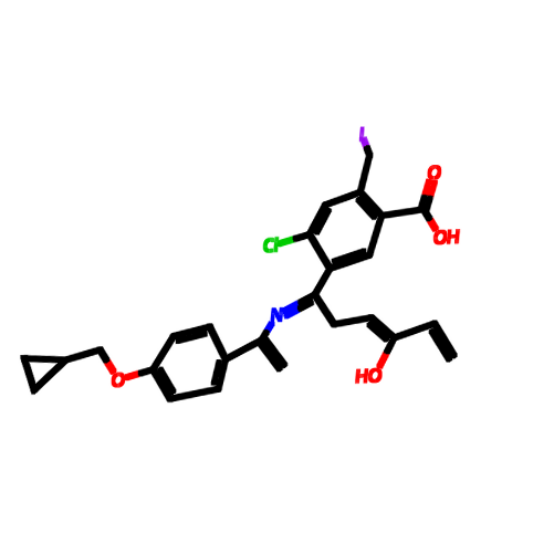 C=C/C(O)=C/C/C(=N\C(=C)c1ccc(OCC2CC2)cc1)c1cc(C(=O)O)c(CI)cc1Cl